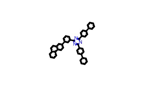 c1ccc(-c2ccc(-c3nc(-c4ccc(-c5ccccc5)cc4)nc(-c4cccc(-c5ccc6c(ccc7ccccc76)c5)c4)n3)cc2)cc1